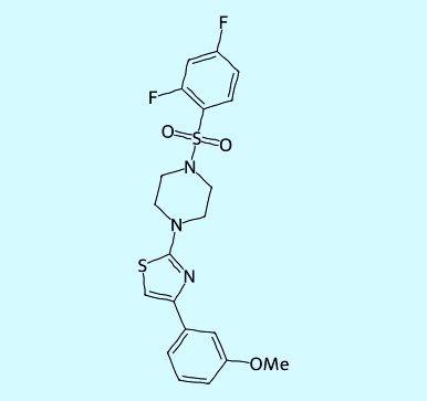 COc1cccc(-c2csc(N3CCN(S(=O)(=O)c4ccc(F)cc4F)CC3)n2)c1